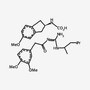 COc1ccc(CC(=O)N=C(N)NC(C)CC(C)C)cc1OC.COc1ccc2c(c1)C[C@H](NC(=O)O)C2